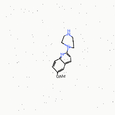 COc1ccc2nc(N3CCNCC3)ccc2c1